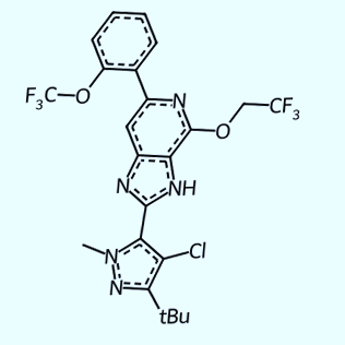 Cn1nc(C(C)(C)C)c(Cl)c1-c1nc2cc(-c3ccccc3OC(F)(F)F)nc(OCC(F)(F)F)c2[nH]1